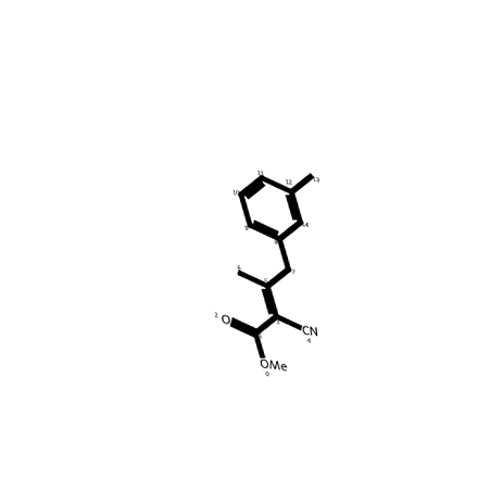 COC(=O)/C(C#N)=C(\C)Cc1cccc(C)c1